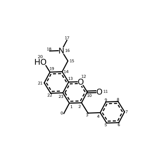 Cc1c(Cc2ccccc2)c(=O)oc2c(CN(C)C)c(O)ccc12